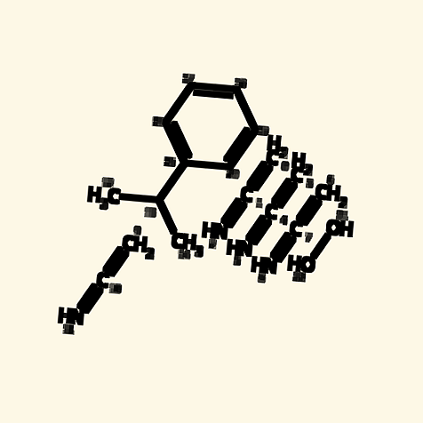 C=C=N.C=C=N.C=C=N.C=C=N.CC(C)c1ccccc1.OO